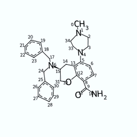 CN1CCN(c2ccc(C(N)=O)c3c2C[C@H](N(Cc2ccccc2)Cc2ccccc2)CO3)CC1